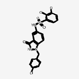 O=c1[nH]n(Cc2ccc(Cl)cc2)c2ccc(NS(=O)(=O)c3cccc(Cl)c3Cl)cc12